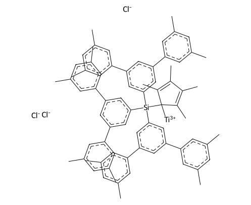 CC1=C(C)[C]([Ti+3])([Si](c2cc(-c3cc(C)cc(C)c3)cc(-c3cc(C)cc(C)c3)c2)(c2cc(-c3cc(C)cc(C)c3)cc(-c3cc(C)cc(C)c3)c2)c2cc(-c3cc(C)cc(C)c3)cc(-c3cc(C)cc(C)c3)c2)C(C)=C1C.[Cl-].[Cl-].[Cl-]